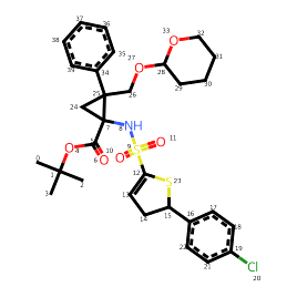 CC(C)(C)OC(=O)C1(NS(=O)(=O)C2=CCC(c3ccc(Cl)cc3)S2)CC1(COC1CCCCO1)c1ccccc1